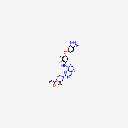 C=CC(=O)N1CCN(c2ncc3ncnc(Nc4ccc(Oc5ccc6c(c5)nnn6C)c(C)c4F)c3n2)CC12CC2